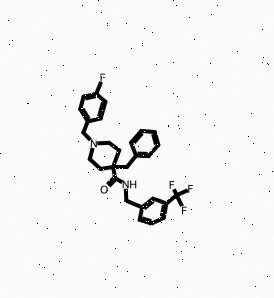 O=C(NCc1cccc(C(F)(F)F)c1)C1(Cc2ccccc2)CCN(Cc2ccc(F)cc2)CC1